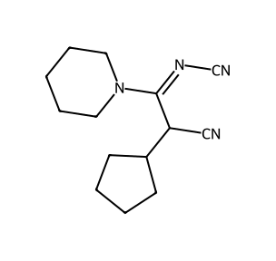 N#CN=C(C(C#N)C1CCCC1)N1CCCCC1